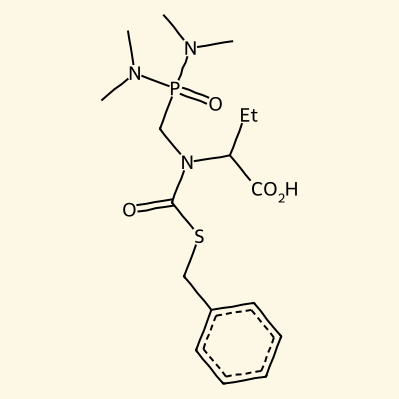 CCC(C(=O)O)N(CP(=O)(N(C)C)N(C)C)C(=O)SCc1ccccc1